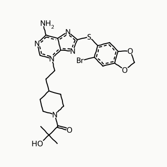 CC(C)(O)C(=O)N1CCC(CCn2cnc(N)c3nc(Sc4cc5c(cc4Br)OCO5)nc2-3)CC1